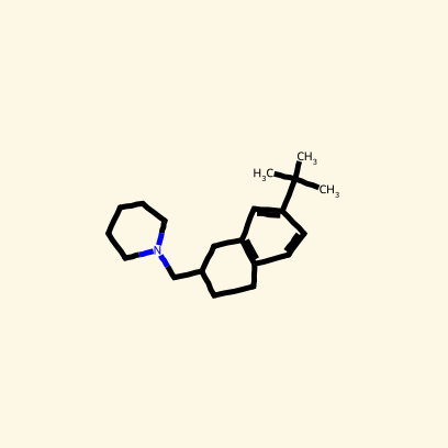 CC(C)(C)c1ccc2c(c1)CC(CN1CCCCC1)CC2